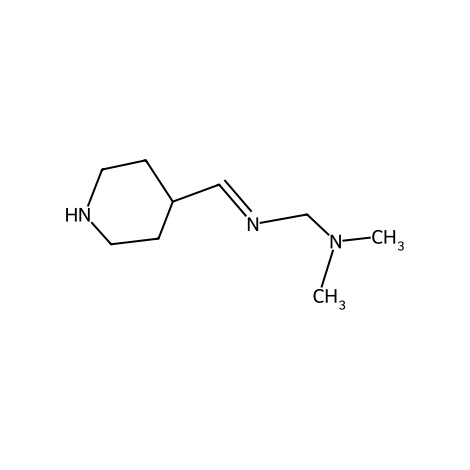 CN(C)CN=CC1CCNCC1